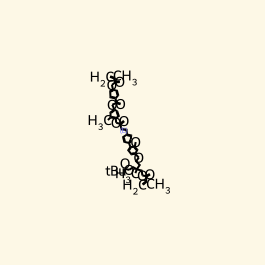 C=C(C)C(=O)OCC(C)(CCOc1ccc2c(c1)oc1cc(/C=C/C(=O)Oc3ccc(OC(=O)c4ccc(OC(=O)C(=C)C)cc4)cc3C)ccc12)COC(=O)C(C)(C)C